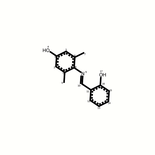 Cc1cc(O)cc(C)c1N=Cc1ccccc1O